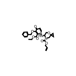 C=CCOC(=O)N1CC2(CC2)OCC1Nn1ccc(=O)c(OCc2ccccc2)c1C(=O)OCC